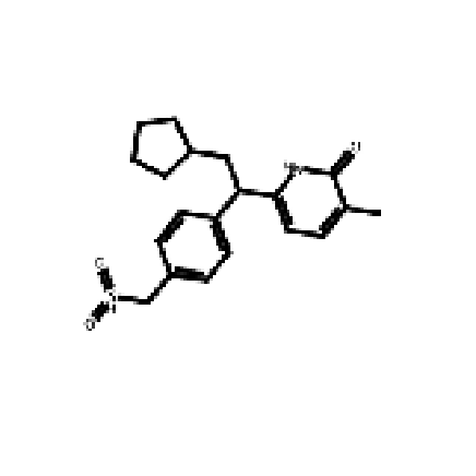 Cc1ccc(C(CC2CCCC2)c2ccc(C[SH](=O)=O)cc2)[nH]c1=O